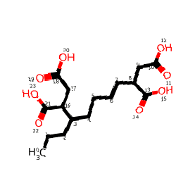 CCCC(CCCCC(CC(=O)O)C(=O)O)C(CC(=O)O)C(=O)O